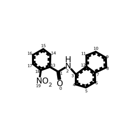 O=C(Nc1cccc2ccccc12)c1ccccc1[N+](=O)[O-]